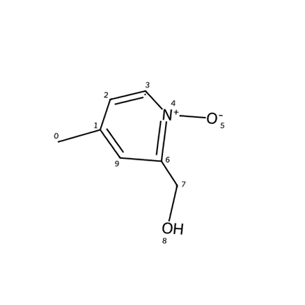 Cc1c[c][n+]([O-])c(CO)c1